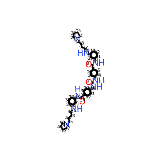 O=C(Nc1ccc(C(=O)Nc2cccc(NCCCCN3CCCC3)c2)cc1)Nc1ccc(C(=O)Nc2cccc(NCCCCN3CCCC3)c2)cc1